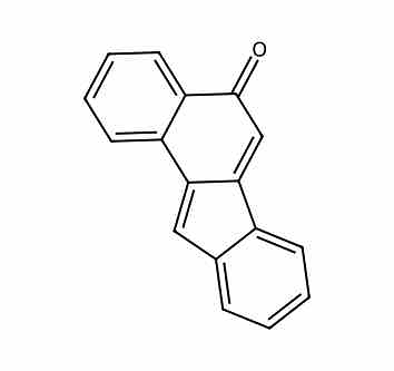 O=C1C=C2C(=Cc3ccccc32)c2ccccc21